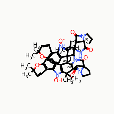 CC1=[N+]([O-])c2c(ccc3c2C=CC(C)(C)O3)C12C(C13NC(=O)[C@]45CCCN4C(=O)[C@]15CC3C)N1C(=O)C34CCCN3C(=O)[C@@]13C(C4)C(C)(C)c1c(c4ccc5c(c4n1O)C=CC(C)(C)O5)[C@H]23